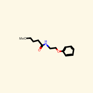 COCCCC(=O)NCCOc1ccccc1